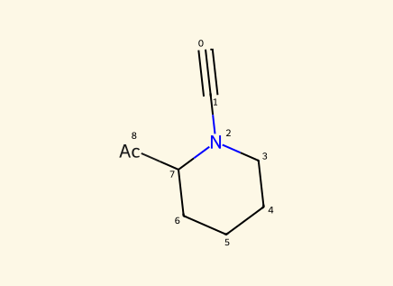 [C]#CN1CCCCC1C(C)=O